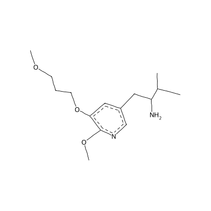 COCCCOc1cc(CC(N)C(C)C)cnc1OC